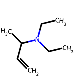 C=CC(C)N(CC)CC